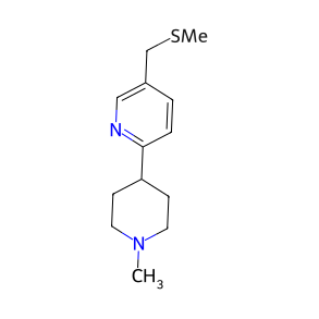 CSCc1ccc(C2CCN(C)CC2)nc1